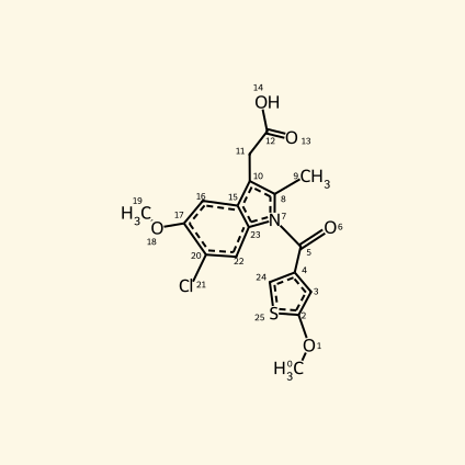 COc1cc(C(=O)n2c(C)c(CC(=O)O)c3cc(OC)c(Cl)cc32)cs1